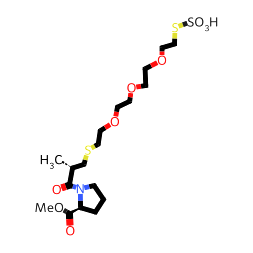 COC(=O)[C@@H]1CCCN1C(=O)[C@H](C)CSCCOCCOCCOCCSS(=O)(=O)O